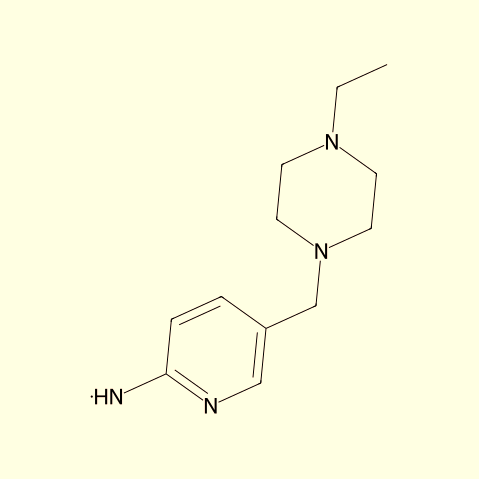 CCN1CCN(Cc2ccc([NH])nc2)CC1